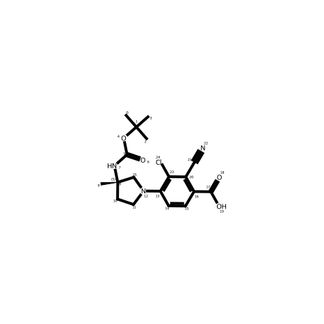 CC(C)(C)OC(=O)N[C@@]1(C)CCN(c2ccc(C(=O)O)c(C#N)c2Cl)C1